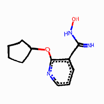 N=C(NO)c1cccnc1OC1CCCC1